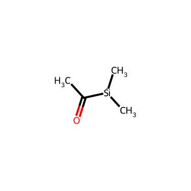 CC(=O)[Si](C)C